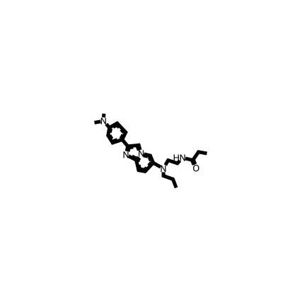 CCCN(CCNC(=O)CC)c1ccc2nc(-c3ccc(N(C)C)cc3)cn2c1